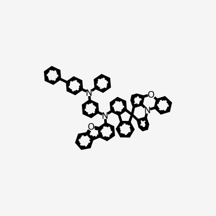 c1ccc(-c2ccc(N(c3ccccc3)c3cccc(N(c4cccc5c4-c4ccccc4C54c5ccccc5N5c6ccccc6Oc6cccc4c65)c4cccc5c4oc4ccccc45)c3)cc2)cc1